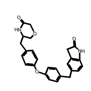 O=C1Cc2cc(Cc3ccc(Oc4ccc(CC5COCC(=O)N5)cc4)cc3)ccc2N1